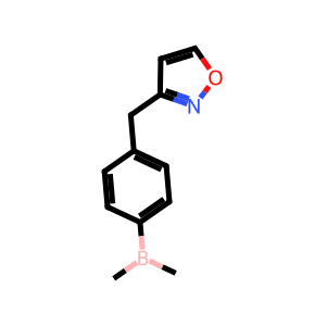 CB(C)c1ccc(Cc2ccon2)cc1